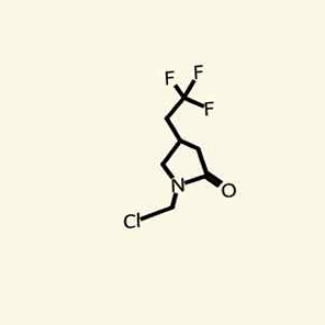 O=C1CC(CC(F)(F)F)CN1CCl